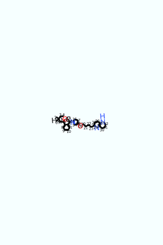 CC1(C)CCOC(c2ccccc2C(C(=O)O)N2CC[C@@H](OCCCCc3ccc4c(n3)CCCN4)C2)C1